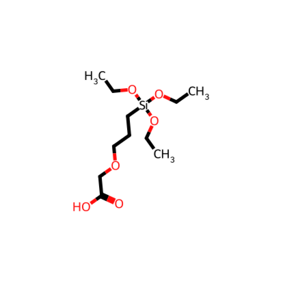 CCO[Si](CCCOCC(=O)O)(OCC)OCC